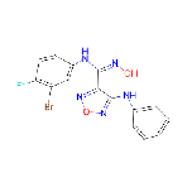 O/N=C(/Nc1ccc(F)c(Br)c1)c1nonc1Nc1ccccc1